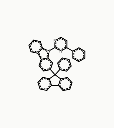 c1ccc(-c2ccnc(-n3c4ccccc4c4ccc(C5(c6ccccc6)c6ccccc6-c6ccccc65)cc43)n2)cc1